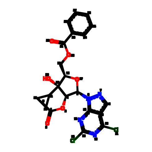 CC(=O)O[C@H]1[C@H](n2ncc3c(Cl)nc(Cl)nc32)O[C@H](COC(=O)c2ccccc2)[C@]1(O)C1CC1